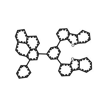 c1ccc(-c2cc(-c3cc(-c4cccc5c4oc4ccccc45)cc(-c4cccc5c4oc4ccccc45)c3)c3ccc4cccc5ccc2c3c54)cc1